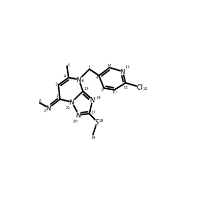 C/N=c1\cc(C)n(Cc2ccc(Cl)nc2)c2nc(SC)nn12